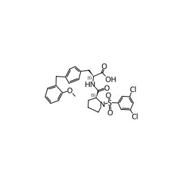 COc1ccccc1Cc1ccc(C[C@H](NC(=O)[C@@H]2CCCN2S(=O)(=O)c2cc(Cl)cc(Cl)c2)C(=O)O)cc1